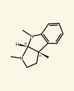 CN1CC[C@@]2(C)c3[c]cccc3N(C)[C@@H]12